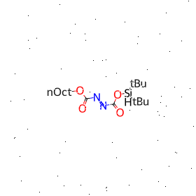 CCCCCCCCOC(=O)N=NC(=O)O[SiH](C(C)(C)C)C(C)(C)C